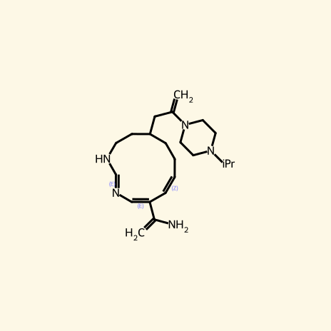 C=C(N)C1=C/N=C/NCCC(CC(=C)N2CCN(C(C)C)CC2)CC/C=C\1